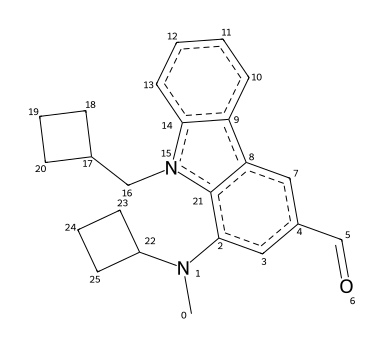 CN(c1cc(C=O)cc2c3ccccc3n(CC3CCC3)c12)C1CCC1